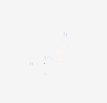 Cc1ccc(COC(=O)N[C@@H](CC(C)(C)C)C(=O)O)cn1